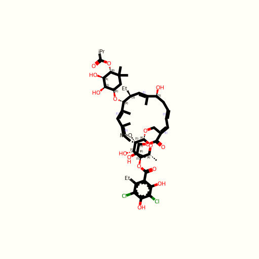 CCc1c(Cl)c(O)c(Cl)c(O)c1C(=O)O[C@H]1[C@H](O)[C@H](OC)[C@H](OC/C2=C\C=C\C[C@H](O)/C(C)=C/[C@H](CC)[C@@H](O[C@@H]3CC(C)(C)[C@@H](OC(=O)C(C)C)[C@H](O)[C@@H]3O)/C(C)=C/C(C)=C/C[C@@H]([C@@H](C)O)OC2=O)O[C@@H]1C